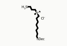 CCCCCCCCCCCCCCCCCC[N+](C)(C)CCC[SiH3].[Cl-]